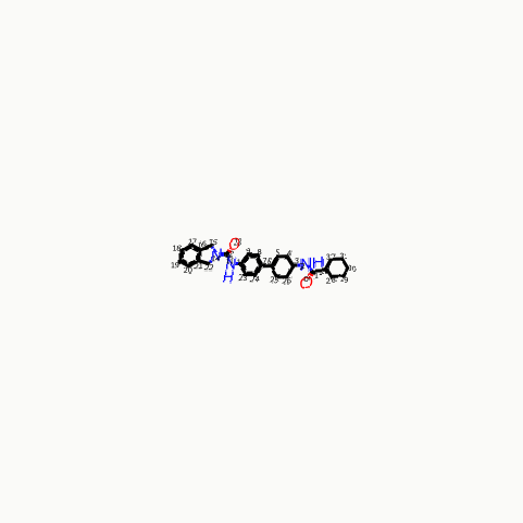 O=C(NC1CC=C(c2ccc(NC(=O)N3Cc4ccccc4C3)cc2)CC1)C1CCCCC1